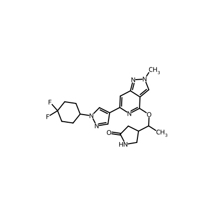 CC(Oc1nc(-c2cnn(C3CCC(F)(F)CC3)c2)cc2nn(C)cc12)C1CNC(=O)C1